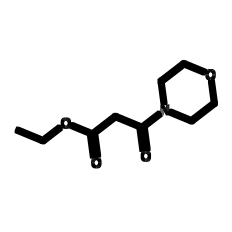 CCOC(=O)CC(=O)N1CCOCC1